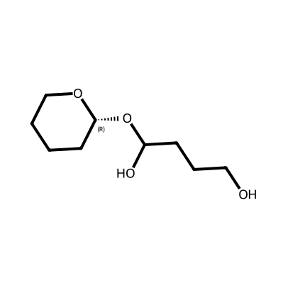 OCCCC(O)O[C@@H]1CCCCO1